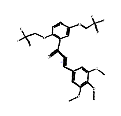 COc1cc(/C=C/C(=O)c2cc(OCC(F)(F)F)ccc2OCC(F)(F)F)cc(OC)c1OC